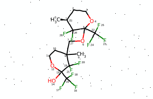 C[C@H]1CCOC(OCC2(C)CCOC(O)(C(F)(F)F)C2(F)F)(C(F)(F)F)C1(F)F